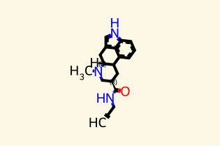 C#CCNC(=O)[C@@H]1CC2c3cccc4[nH]cc(c34)C[C@H]2N(C)C1